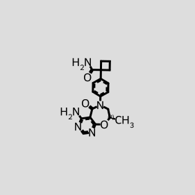 C[C@@H]1CN(c2ccc(C3(C(N)=O)CCC3)cc2)C(=O)c2c(N)ncnc2O1